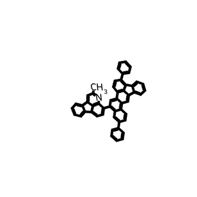 Cc1cc2c3c(ccc(-c4cc5c6ccc(-c7ccccc7)c7c6c(cc5c5ccc(-c6ccccc6)cc45)-c4ccccc4-7)c3n1)-c1ccccc1-2